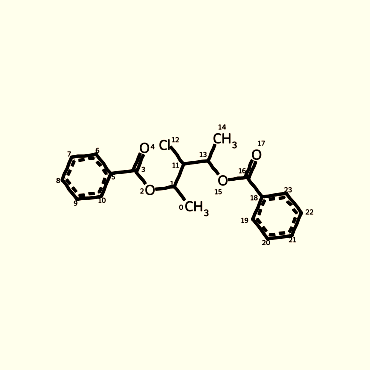 CC(OC(=O)c1ccccc1)C(Cl)C(C)OC(=O)c1ccccc1